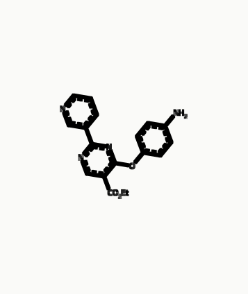 CCOC(=O)c1cnc(-c2cccnc2)nc1Oc1ccc(N)cc1